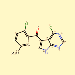 COc1ccc(Cl)c(C(=O)c2c[nH]c3ncnc(Cl)c23)c1